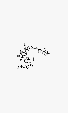 CC(C)(C)OC(=O)NCCCCNC1CC(Nc2ncc(C(F)(F)F)c(-c3c[nH]c4c(P(C)(C)=O)c(C(=O)O)ccc34)n2)C1